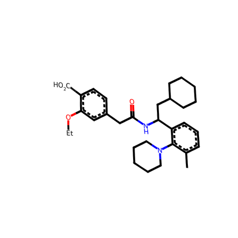 CCOc1cc(CC(=O)NC(CC2CCCCC2)c2cccc(C)c2N2CCCCC2)ccc1C(=O)O